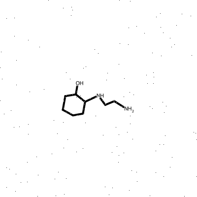 NCCNC1CCCCC1O